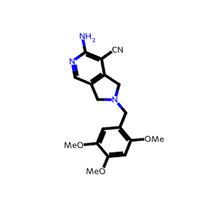 COc1cc(OC)c(OC)cc1CN1Cc2cnc(N)c(C#N)c2C1